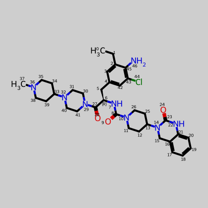 CCc1cc(C[C@@H](NC(=O)N2CCC(N3Cc4ccccc4NC3=O)CC2)C(=O)N2CCN(C3CCN(C)CC3)CC2)cc(Cl)c1N